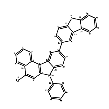 Clc1cc2c(c3ccccc13)c1cc(-c3ccc4sc5ccccc5c4c3)ccc1n2-c1ccccc1